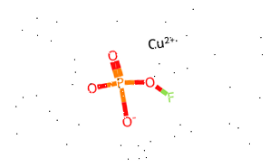 O=P([O-])([O-])OF.[Cu+2]